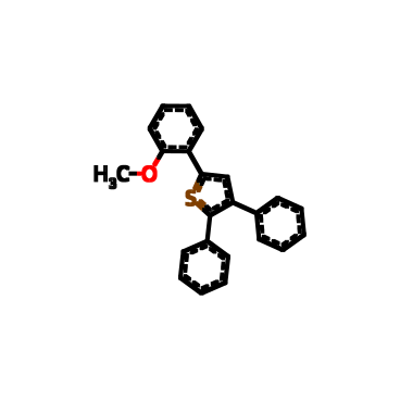 COc1ccccc1-c1cc(-c2ccccc2)c(-c2ccccc2)s1